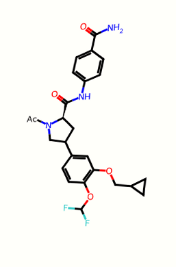 CC(=O)N1CC(c2ccc(OC(F)F)c(OCC3CC3)c2)C[C@@H]1C(=O)Nc1ccc(C(N)=O)cc1